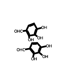 O=Cc1ccc(O)c(O)c1O.O=Cc1ccc(O)c(O)c1O